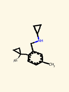 Cc1ccc(C2(C#N)CC2)c(CNC2CC2)c1